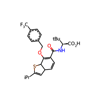 CC(C)C1=CC2C=CC(C(=O)N[C@H](C(=O)O)C(C)(C)C)=C(OCc3ccc(C(F)(F)F)cc3)C2S1